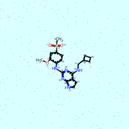 COc1cc(S(C)(=O)=O)ccc1Nc1nc(NCC2CCC2)c2cc[nH]c2n1